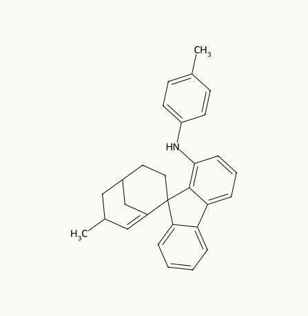 Cc1ccc(Nc2cccc3c2C2(CCC4CC2=CC(C)C4)c2ccccc2-3)cc1